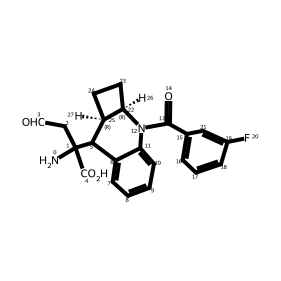 NC(CC=O)(C(=O)O)C1c2ccccc2N(C(=O)c2cccc(F)c2)[C@@H]2CC[C@H]12